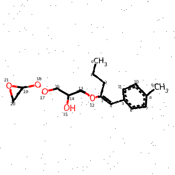 CCC/C(=C\c1ccc(C)cc1)OCC(O)COOC1CO1